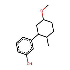 COC1CCC(C)C(c2cccc(O)c2)C1